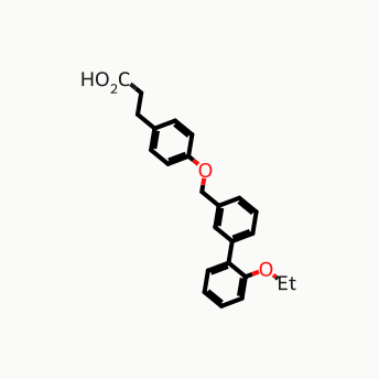 CCOc1ccccc1-c1cccc(COc2ccc(CCC(=O)O)cc2)c1